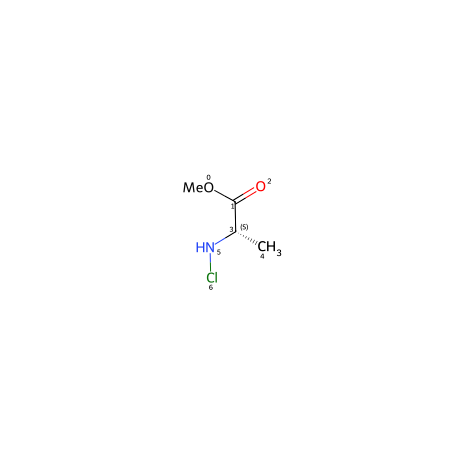 COC(=O)[C@H](C)NCl